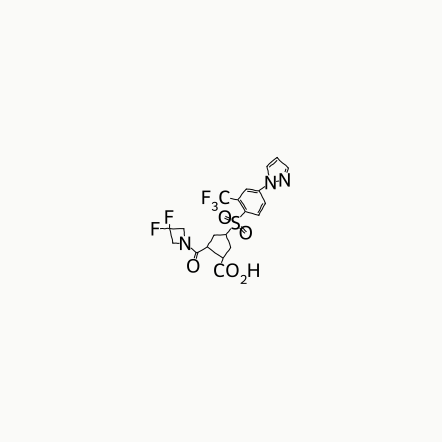 O=C(O)C1CC(S(=O)(=O)c2ccc(-n3cccn3)cc2C(F)(F)F)CC1C(=O)N1CC(F)(F)C1